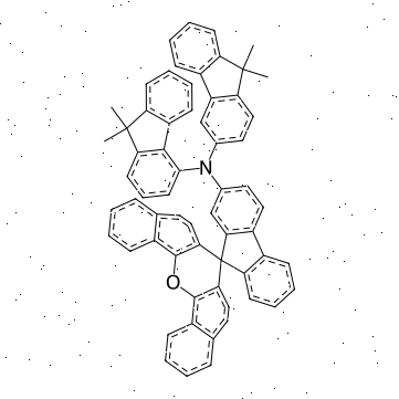 CC1(C)c2ccccc2-c2cc(N(c3ccc4c(c3)C3(c5ccccc5-4)c4ccc5ccccc5c4Oc4c3ccc3ccccc43)c3cccc4c3-c3ccccc3C4(C)C)ccc21